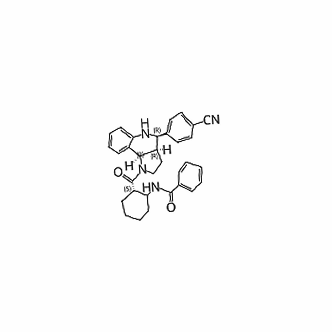 N#Cc1ccc([C@@H]2Nc3ccccc3[C@H]3[C@@H]2CCN3C(=O)[C@H]2CCCCC2NC(=O)c2ccccc2)cc1